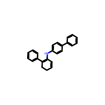 C1=CC(Nc2ccc(-c3ccccc3)cc2)=C(c2ccccc2)CC1